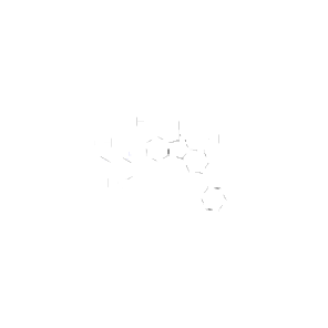 C=C/C(=C\C=C/C)c1cc(C)c2[nH]c3c(C)cc(-c4ccccc4)cc3c2c1